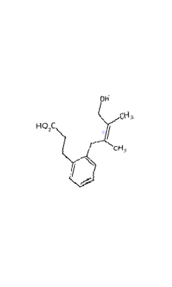 C/C(CO)=C(\C)Cc1ccccc1CCC(=O)O